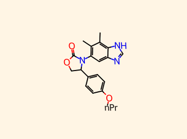 CCCOc1ccc(C2COC(=O)N2c2cc3nc[nH]c3c(C)c2C)cc1